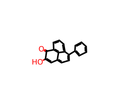 O=C1C(O)=Cc2ccc(-c3ccccc3)c3cccc1c23